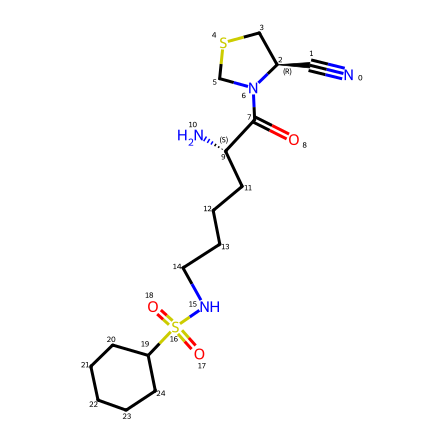 N#C[C@@H]1CSCN1C(=O)[C@@H](N)CCCCNS(=O)(=O)C1CCCCC1